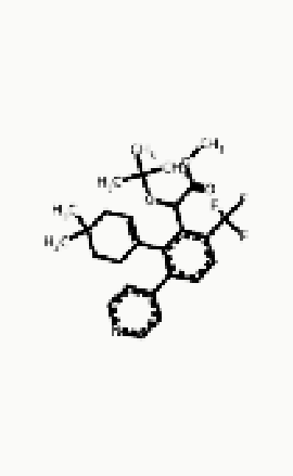 COC(=O)C(OC(C)(C)C)c1c(C(F)(F)F)ccc(-c2ccncc2)c1C1=CCC(C)(C)CC1